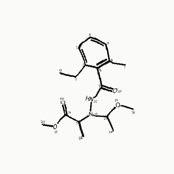 CCc1cccc(C)c1C(=O)NN(C(C)OC)C(C)C(=O)OC